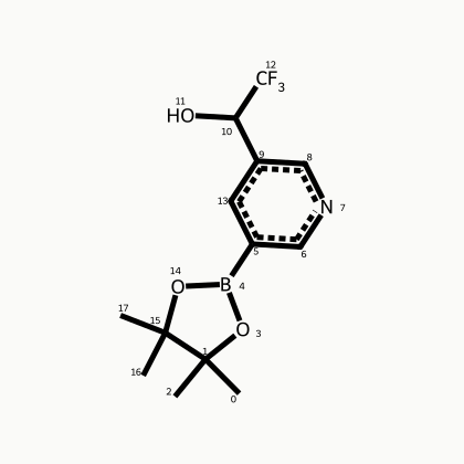 CC1(C)OB(c2cncc(C(O)C(F)(F)F)c2)OC1(C)C